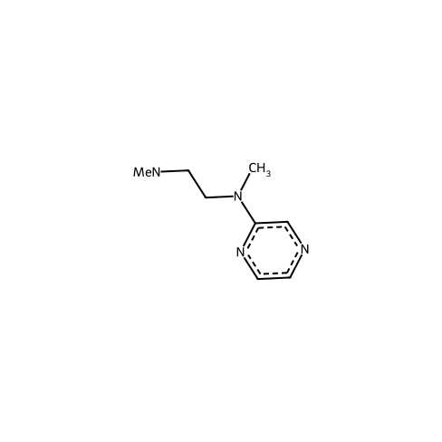 CNCCN(C)c1cnccn1